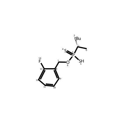 C[C@@H](C(C)(C)C)P(=S)(S)OCc1ccccc1F